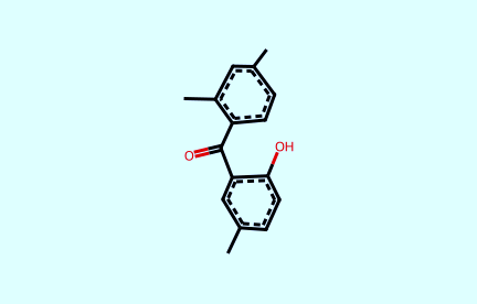 Cc1ccc(C(=O)c2cc(C)ccc2O)c(C)c1